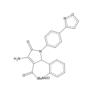 COc1ccccc1C1C(C(=O)C(C)(C)C)=C(N)C(=O)N1c1ccc(-c2ccon2)cc1